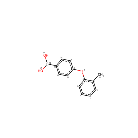 Cc1ccccc1Oc1ccc(B(O)O)cc1